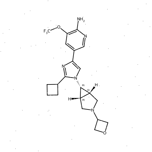 Nc1ncc(-c2cn([C@@H]3[C@@H]4CN(C5COC5)C[C@@H]43)c(C3CCC3)n2)cc1OC(F)(F)F